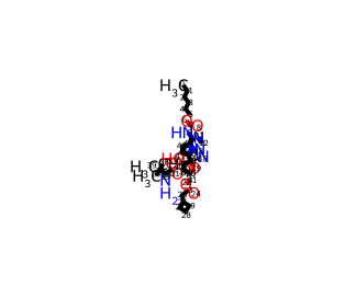 CCCCCCOC(=O)Nc1ncnn2c([C@]3(C#N)O[C@H](COC(=O)CC4CCC4)[C@@H](OC(=O)[C@@H](N)C(C)(C)C)[C@H]3O)ccc12